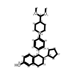 COC(OC)C1CCN(c2ccc([C@H]3c4ccc(O)cc4CC[C@@H]3C3CCCC3)cc2)CC1